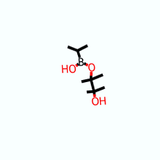 CC(C)B(O)OC(C)(C)C(C)(C)O